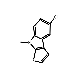 Cn1c2ccc(Cl)cc2c2ccsc21